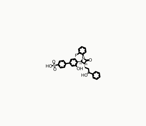 O=C1[C@H](CC[C@H](O)c2ccccc2)[C@@H](c2ccc(-c3ccc(S(=O)(=O)O)cc3)cc2O)N1c1ccccc1F